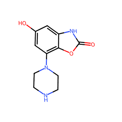 O=c1[nH]c2cc(O)cc(N3CCNCC3)c2o1